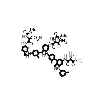 Cc1cccc(-n2ncc3c(-c4ccc(-n5nc(-c6ccc(-n7ncc8ccc(NC(=O)C(NC(=O)OC(C)(C)C)C(=O)O)cc87)cc6C)c6ccc(NC(=O)C(NC(=O)OC(C)(C)C)C(N)=O)cc65)cc4C)cc(NC(=O)C(N)C(N)=O)cc32)c1